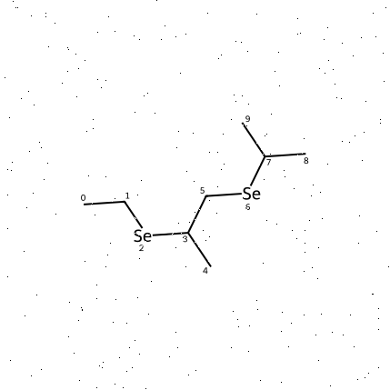 CC[Se]C(C)C[Se]C(C)C